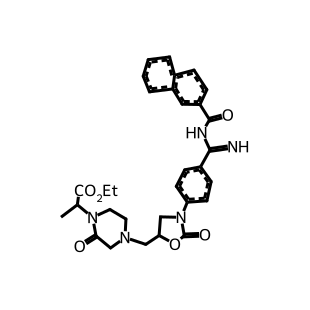 CCOC(=O)C(C)N1CCN(CC2CN(c3ccc(C(=N)NC(=O)c4ccc5ccccc5c4)cc3)C(=O)O2)CC1=O